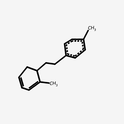 CC1=CC=CCC1CCc1ccc(C)cc1